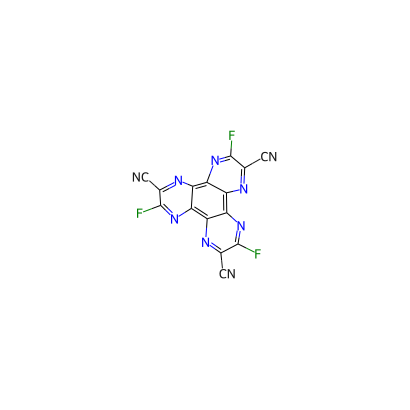 N#Cc1nc2c(nc1F)c1nc(C#N)c(F)nc1c1nc(C#N)c(F)nc21